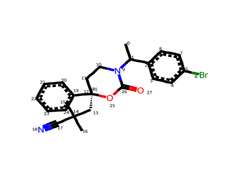 CC(c1ccc(Br)cc1)N1CC[C@](CC(C)(C)C#N)(c2ccccc2)OC1=O